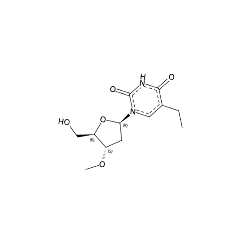 CCc1cn([C@H]2C[C@H](OC)[C@@H](CO)O2)c(=O)[nH]c1=O